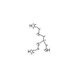 CCSCC(CS)SCC